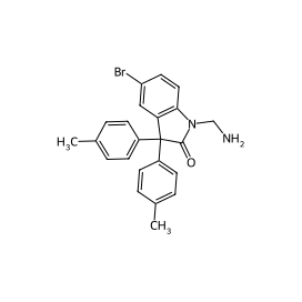 Cc1ccc(C2(c3ccc(C)cc3)C(=O)N(CN)c3ccc(Br)cc32)cc1